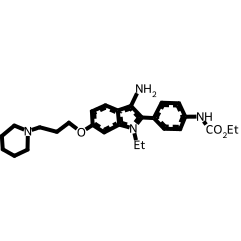 CCOC(=O)Nc1ccc(-c2c(N)c3ccc(OCCCN4CCCCC4)cc3n2CC)cc1